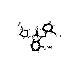 COc1cccc2c1n(Cc1ccccc1C(F)(F)F)c(=O)n2[C@@H]1CCN(C(C)C)C1